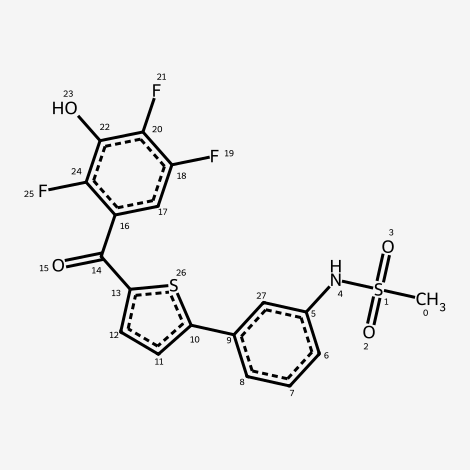 CS(=O)(=O)Nc1cccc(-c2ccc(C(=O)c3cc(F)c(F)c(O)c3F)s2)c1